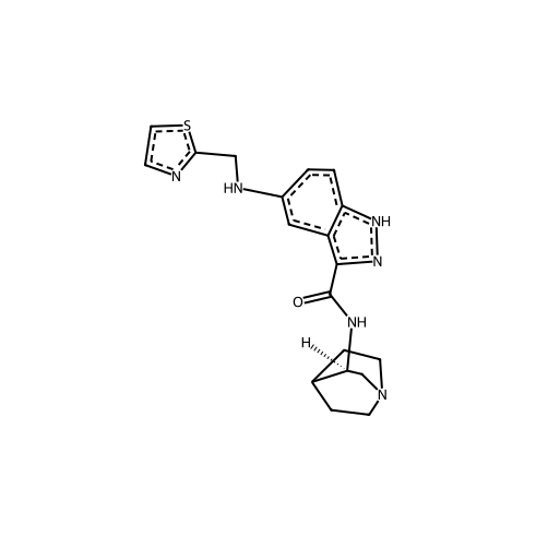 O=C(N[C@H]1CN2CCC1CC2)c1n[nH]c2ccc(NCc3nccs3)cc12